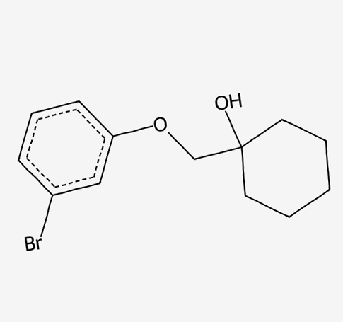 OC1(COc2cccc(Br)c2)CCCCC1